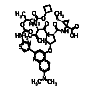 C=C[C@@H]1C[C@]1(NC(=O)[C@@H]1C[C@@H](Oc2cc(-c3csc(NC(=O)OC(C)C)n3)nc3cc(N(C)C)ccc23)CN1C(=O)[C@@H](NC(=O)OC1CCC1)C(=C)C)C(=O)O